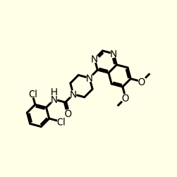 COc1cc2ncnc(N3CCN(C(=O)Nc4c(Cl)cccc4Cl)CC3)c2cc1OC